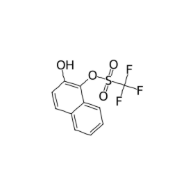 O=S(=O)(Oc1c(O)ccc2ccccc12)C(F)(F)F